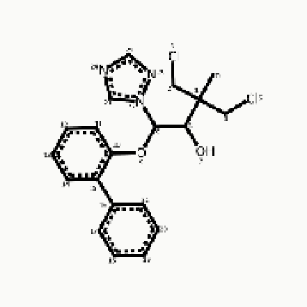 CC(CCl)(CCl)C(O)C(Oc1ccccc1-c1ccccc1)n1cncn1